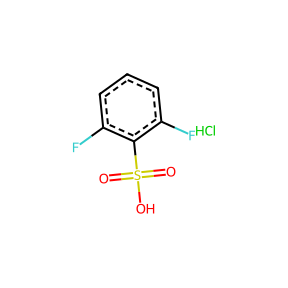 Cl.O=S(=O)(O)c1c(F)cccc1F